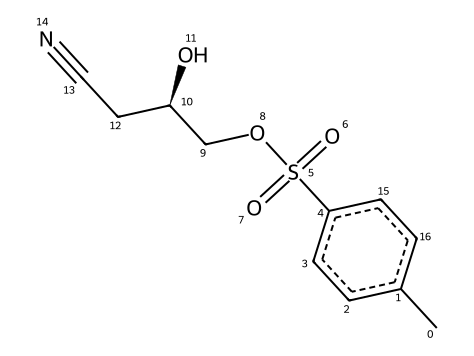 Cc1ccc(S(=O)(=O)OC[C@H](O)CC#N)cc1